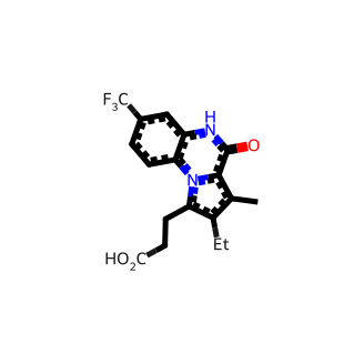 CCc1c(C)c2c(=O)[nH]c3cc(C(F)(F)F)ccc3n2c1CCC(=O)O